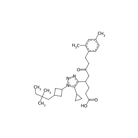 CCC(C)(C)CC1CC(n2nnc(C(CCC(=O)O)CC(=O)CCc3ccc(C)cc3C)c2C2CC2)C1